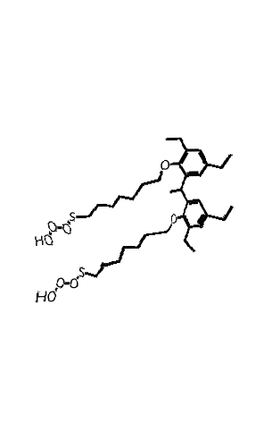 CCc1cc(CC)c(OCCCCCCCSOOO)c(C(C)c2cc(CC)cc(CC)c2OCCCCCCCSOOO)c1